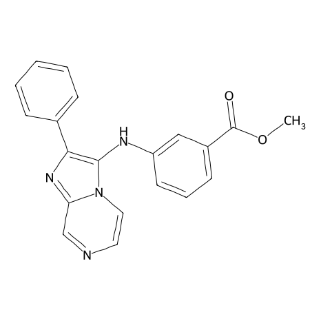 COC(=O)c1cccc(Nc2c(-c3ccccc3)nc3cnccn23)c1